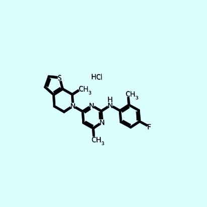 Cc1cc(N2CCc3ccsc3C2C)nc(Nc2ccc(F)cc2C)n1.Cl